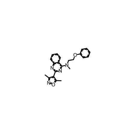 Cc1noc(C)c1-c1nc(N(C)CCOc2ccccc2)c2ccccc2n1